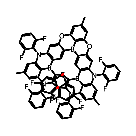 Cc1cc2c3c(c1)Oc1cc4c(cc1B3c1cc3c(cc1O2)N(c1c(F)cccc1F)c1cc(C)cc2c1B3c1sc3cc(F)cc(F)c3c1N2c1c(F)cccc1F)B1c2sc3cc(F)cc(F)c3c2N(c2c(F)cccc2F)c2cc(C)cc(c21)N4c1c(F)cccc1F